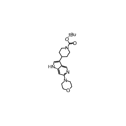 CC(C)(C)OC(=O)N1CCC(c2c[nH]c3cc(N4CCOCC4)ncc23)CC1